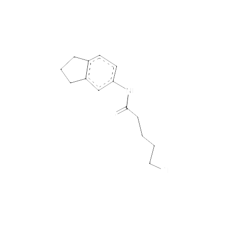 O=C(CCCCCl)Nc1ccc2c(c1)CCC2